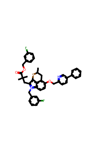 CC1Cc2c(OCc3ccc(-c4ccccc4)cn3)ccc3c2c(c(CC(C)(C)C(=O)OCc2cccc(F)c2)n3Cc2cccc(F)c2)S1